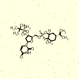 C=C(C)[C@@H]1CC[C@]2(C)SP(=S)(OC[C@H]3O[C@@H](n4ccc(=O)[nH]c4=O)C[C@@H]3O[Si](C)(C)C(C)(C)C)O[C@H]2C1